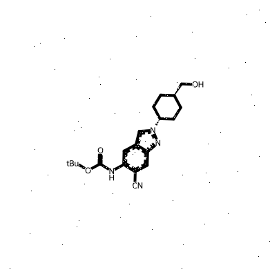 CC(C)(C)OC(=O)Nc1cc2cn([C@H]3CC[C@H](CO)CC3)nc2cc1C#N